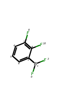 FB(F)c1cccc(F)c1F